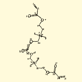 C=CC(=O)OCC[N+](C)(C)CO[PH](=O)OC[N+](C)(C)CCOC(=O)C=C